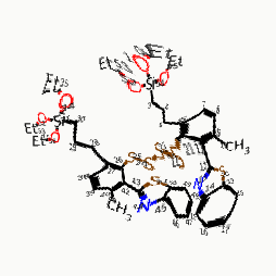 CCO[Si](CCCc1ccc(C)c(-c2nc3ccccc3s2)c1SSSSc1c(CCC[Si](OCC)(OCC)OCC)ccc(C)c1-c1nc2ccccc2s1)(OCC)OCC